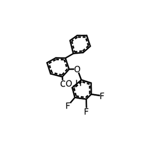 O=C(O)c1cccc(-c2ccccc2)c1Oc1cc(F)c(F)c(F)c1